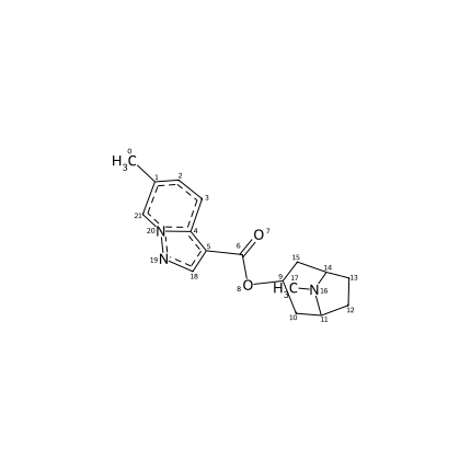 Cc1ccc2c(C(=O)OC3CC4CCC(C3)N4C)cnn2c1